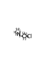 Clc1ccc(CN2C[CH]CCC2)cc1